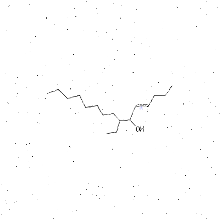 CCC/C=C/C(O)C(CC)CCCCCCCC